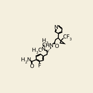 CN(C)[C@H](CNC(=O)CC(c1cccnc1)C1(C(F)(F)F)CC1)Cc1ccc(C(N)=O)c(F)c1